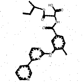 CCC(C)OC(=O)C(NC(=O)c1ccc(C)c(Nc2nccc(-c3cccnc3)n2)c1)C(=O)O